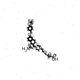 Nc1nc2c(c(N3CCN(CCOC[C@@H]4C[C@@H](C(=O)O)O4)CC3)n1)CCc1cc(OCc3ccc(OC(F)(F)F)cc3)ccc1-2